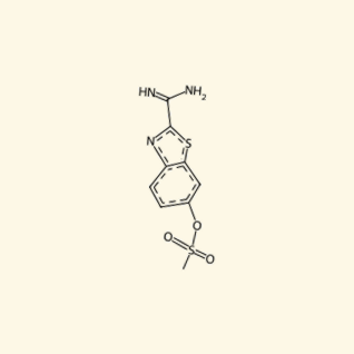 CS(=O)(=O)Oc1ccc2nc(C(=N)N)sc2c1